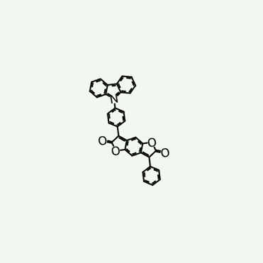 O=C1Oc2cc3c(cc2=C1c1ccccc1)OC(=O)C=3c1ccc(-n2c3ccccc3c3ccccc32)cc1